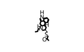 CCCN1C[C@H](CSCC(C)=O)C[C@@H]2c3cccc4[nH]cc(c34)C[C@H]21